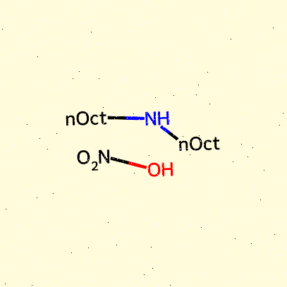 CCCCCCCCNCCCCCCCC.O=[N+]([O-])O